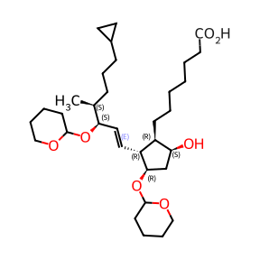 C[C@@H](CCCC1CC1)[C@@H](/C=C/[C@@H]1[C@@H](CCCCCCC(=O)O)[C@@H](O)C[C@H]1OC1CCCCO1)OC1CCCCO1